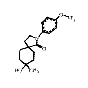 CC1(O)CCC2(CCN(c3ccc(OC(F)(F)F)cc3)C2=O)CC1